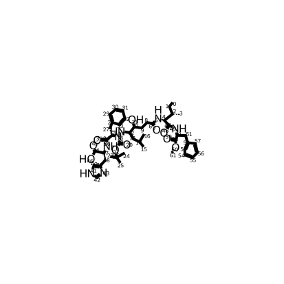 CC[C@H](C)[C@H](NC(=O)CCC(O)C(CC(C)C)NN(C(=O)OC(C)(C)C)[C@@H](Cc1ccccc1)C(=O)N[C@@H](Cc1c[nH]cn1)C(=O)O)C(=O)NC(Cc1ccccc1)C(=O)OC